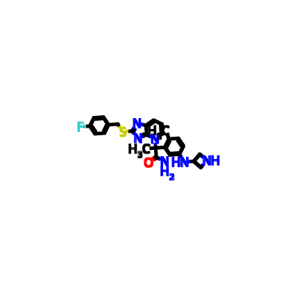 Cc1ccc(NC2CNC2)cc1C(C)(C(N)=O)n1cccc2nc(SCc3ccc(F)cc3)nc1-2